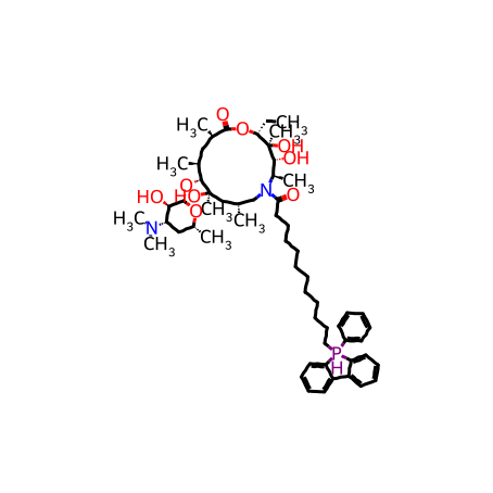 CC[C@H]1OC(=O)[C@H](C)C[C@H](C)[C@@H](O[C@@H]2O[C@H](C)C[C@H](N(C)C)[C@H]2O)[C@](C)(O)C[C@@H](C)CN(C(=O)CCCCCCCCCCC[PH]2(c3ccccc3)c3ccccc3-c3ccccc32)[C@H](C)[C@@H](O)[C@]1(C)O